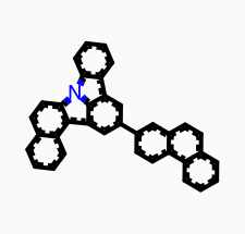 c1ccc2c(c1)ccc1cc(-c3cc4c5ccccc5n5c6ccc7ccccc7c6c(c3)c45)ccc12